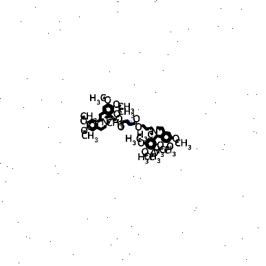 COc1cc2c(cc1OC)C(Cc1cc(OC)c(OC)c(OC)c1)[N+](C)(CCCOC(=O)/C=C/C(=O)OCCC[N+]1(C)CCc3cc(OC)c(OC)c(OC)c3C1c1cc(OC)c(OC)c(OC)c1)CC2